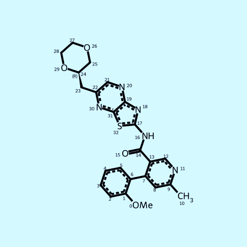 COc1ccccc1-c1cc(C)ncc1C(=O)Nc1nc2ncc(C[C@@H]3COCCO3)nc2s1